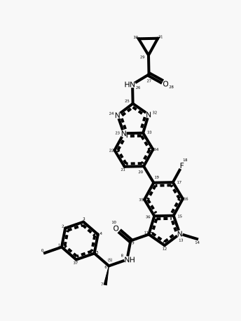 Cc1cccc([C@H](C)NC(=O)c2cn(C)c3cc(F)c(-c4ccn5nc(NC(=O)C6CC6)nc5c4)cc23)c1